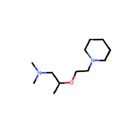 CC(CN(C)C)OCCN1CCCCC1